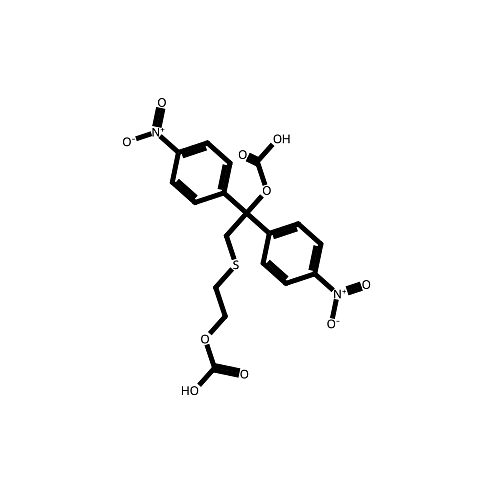 O=C(O)OCCSCC(OC(=O)O)(c1ccc([N+](=O)[O-])cc1)c1ccc([N+](=O)[O-])cc1